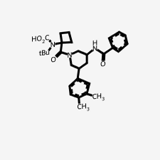 Cc1ccc(C2CC(NC(=O)c3ccccc3)CN(C(=O)C3(N(C(=O)O)C(C)(C)C)CCC3)C2)cc1C